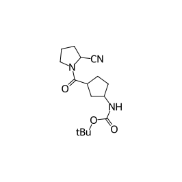 CC(C)(C)OC(=O)NC1CCC(C(=O)N2CCCC2C#N)C1